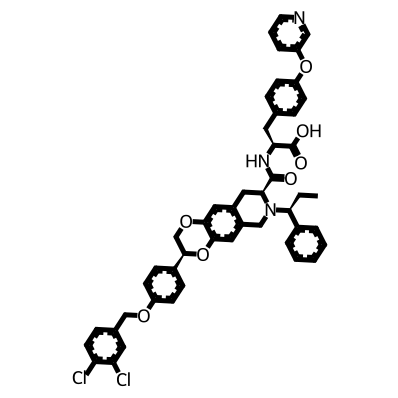 CC[C@@H](c1ccccc1)N1Cc2cc3c(cc2C[C@H]1C(=O)N[C@@H](Cc1ccc(Oc2cccnc2)cc1)C(=O)O)OC[C@H](c1ccc(OCc2ccc(Cl)c(Cl)c2)cc1)O3